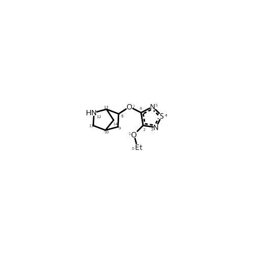 CCOc1nsnc1OC1CC2CNC1C2